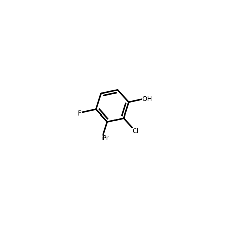 CC(C)c1c(F)ccc(O)c1Cl